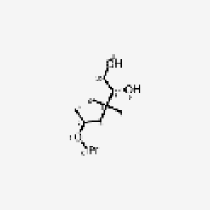 CC(C)O[C@@H](C)CC(C)(C)[C@@H](O)CO